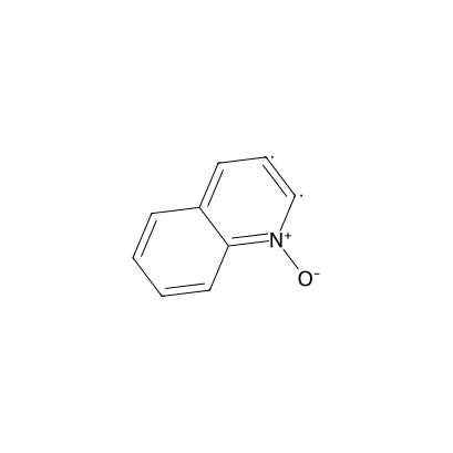 [O-][n+]1[c][c]cc2ccccc21